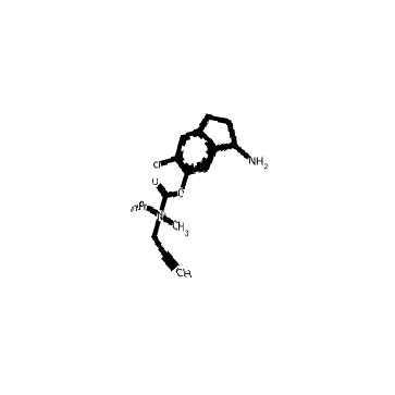 C#CC[N+](C)(CCC)C(=O)Oc1cc2c(cc1Cl)CCC2N